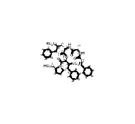 C[C@H](NC(=O)OCc1ccccc1)C(=O)N[C@@H](CC(Cc1ccccc1)C(=O)O)C(=O)N[C@H](C(=O)N1CCC[C@H]1C(=O)O)C(Cc1ccccc1)C(=O)O